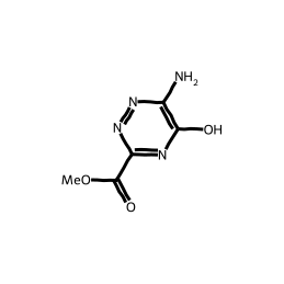 COC(=O)c1nnc(N)c(O)n1